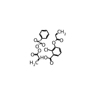 C=CC(=O)OOS(=O)(=O)c1ccccc1.C=CC(=O)Oc1cccc(C(=O)O)c1Cl